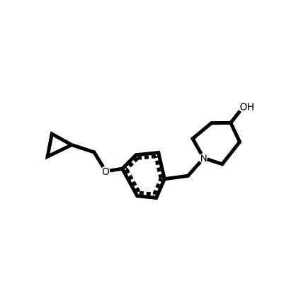 OC1CCN(Cc2ccc(OCC3CC3)cc2)CC1